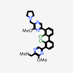 CNCc1ncc(-c2cccc(-c3cccc(-c4cnc(CN5CCCC5)c(OC)n4)c3Cl)c2Cl)nc1OC